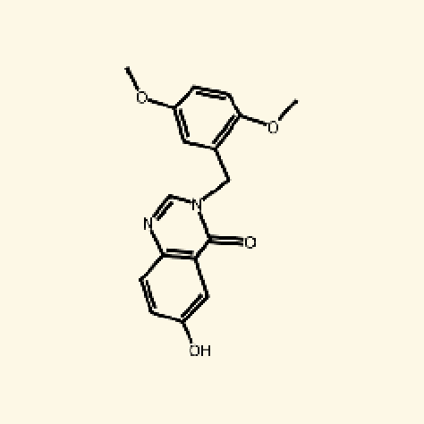 COc1ccc(OC)c(Cn2cnc3ccc(O)cc3c2=O)c1